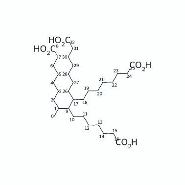 CC(CCCCCCC(=O)O)C(CCCCCCC(=O)O)C(CCCCCCCC(=O)O)CCCCCCC(=O)O